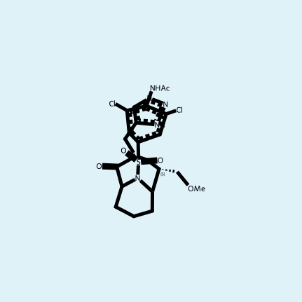 COC[C@H]1CN(Cc2cnn[nH]2)C(=O)C2CCCC1N2S(=O)(=O)c1cc(Cl)c(NC(C)=O)c(Cl)c1